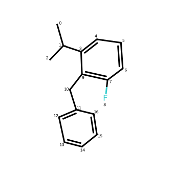 C[C](C)c1cccc(F)c1Cc1ccccc1